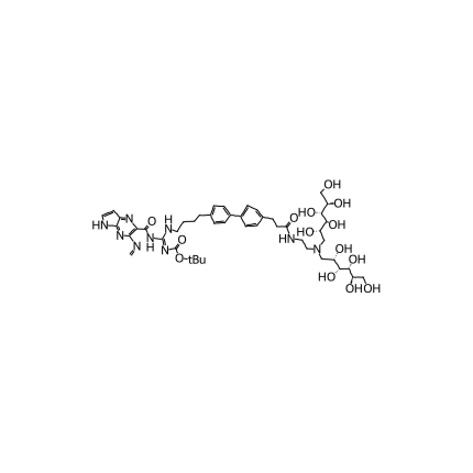 C=Nc1nc2[nH]ccc2nc1C(=O)N/C(=N/C(=O)OC(C)(C)C)NCCCCc1ccc(-c2ccc(CCC(=O)NCCN(C[C@H](O)[C@@H](O)[C@H](O)[C@H](O)CO)C[C@H](O)[C@@H](O)[C@H](O)[C@H](O)CO)cc2)cc1